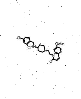 COc1cnc2ccc(=O)n(CCN3CCC(NCc4ccc(Cl)cc4Cl)CC3)c2c1